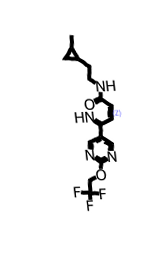 CC1CC1CCNC(=O)/C=C\C(=N)c1cnc(OCC(F)(F)F)nc1